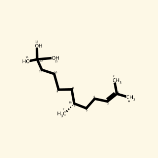 CC(C)=CCC[C@H](C)CCCCC(O)(O)O